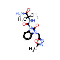 Cc1nnc(Cn2c(=O)n(C(=O)NC(C)(C)C(N)=O)c3ccccc32)o1